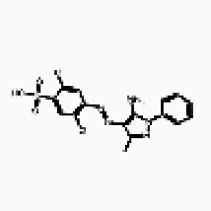 Cc1nn(-c2ccccc2)c(N)c1N=Nc1cc(Cl)c(S(=O)(=O)O)cc1Cl